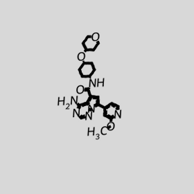 COc1cc(-c2cc(C(=O)N[C@H]3CC[C@H](OC4CCOCC4)CC3)c3c(N)ncnn23)ccn1